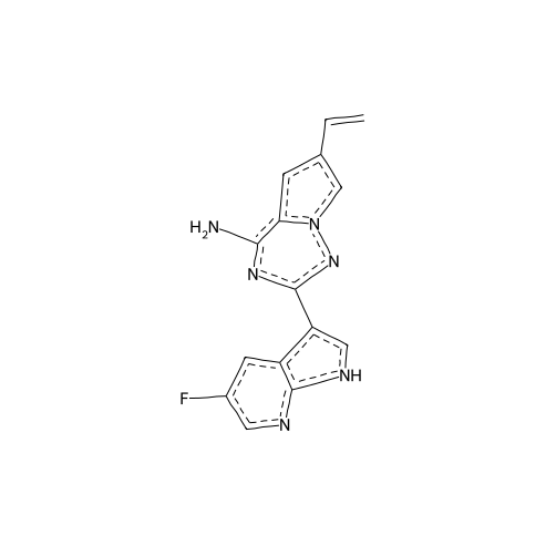 C=Cc1cc2c(N)nc(-c3c[nH]c4ncc(F)cc34)nn2c1